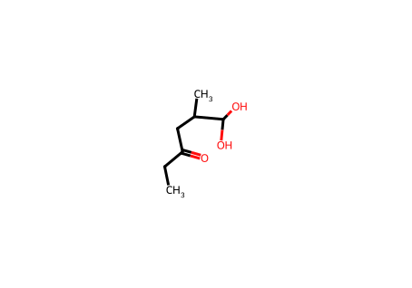 CCC(=O)CC(C)C(O)O